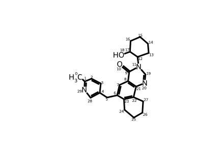 Cc1ccc(Cc2cc3c(=O)n(C4CCCCC4O)cnc3c3c2CCCC3)cn1